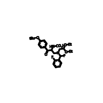 CCOC(CN(CC(NC(=O)O)C(=O)c1ccc(OC(C)(C)C)cc1)C(F)c1ccccc1F)OCC